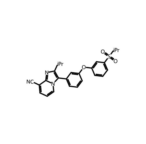 CC(C)c1nc2c(C#N)cccn2c1-c1cccc(Oc2cccc(S(=O)(=O)C(C)C)c2)c1